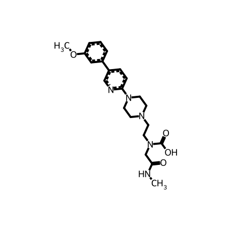 CNC(=O)CN(CCN1CCN(c2ccc(-c3cccc(OC)c3)cn2)CC1)C(=O)O